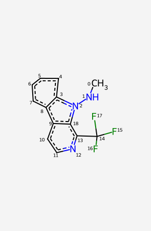 CNn1c2ccccc2c2ccnc(C(F)(F)F)c21